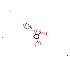 COC(OC)c1ccc(OCCN2CCOCC2)c(C(=O)O)c1